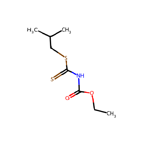 CCOC(=O)NC(=S)SCC(C)C